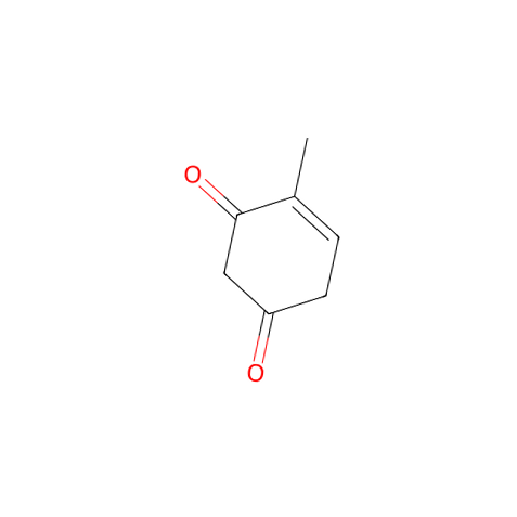 CC1=CCC(=O)CC1=O